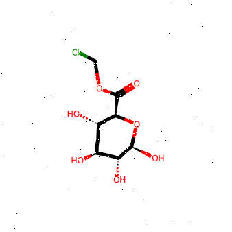 O=C(OCCl)[C@H]1O[C@@H](O)[C@H](O)[C@@H](O)[C@@H]1O